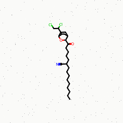 [CH2]CCCCCCCCC(C#N)CCCCC(=O)[C]1OC2CCC1CC2C(Cl)CCl